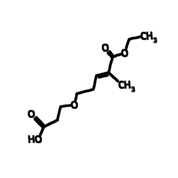 CCOC(=O)/C(C)=C/CCOCCC(=O)O